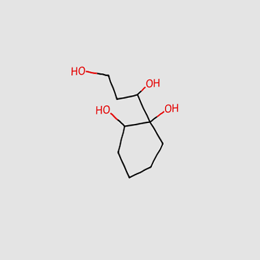 OCCC(O)C1(O)CCCCC1O